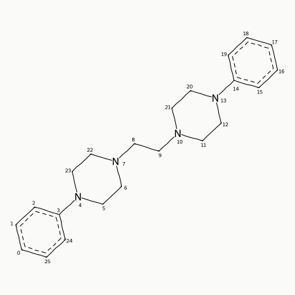 c1ccc(N2CCN(CCN3CCN(c4ccccc4)CC3)CC2)cc1